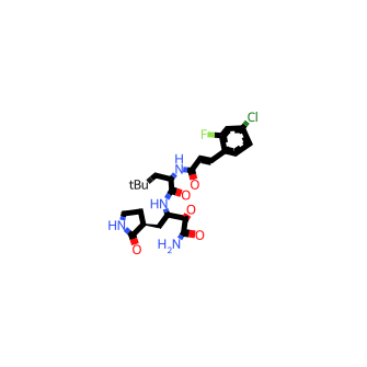 CC(C)(C)CC(NC(=O)/C=C/c1ccc(Cl)cc1F)C(=O)NC(C[C@@H]1CCNC1=O)C(=O)C(N)=O